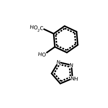 O=C(O)c1ccccc1O.c1c[nH]nn1